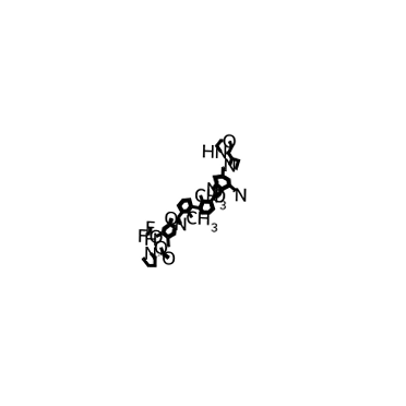 Cc1c(-c2nc3cc(COC(=O)[C@@H]4CCCN4)c(OC(F)F)cc3o2)cccc1-c1cccc(-c2nc3cc(CN4CCC4C4COCCN4)cc(C#N)c3o2)c1C